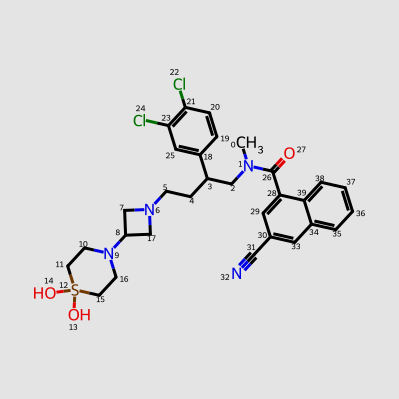 CN(CC(CCN1CC(N2CCS(O)(O)CC2)C1)c1ccc(Cl)c(Cl)c1)C(=O)c1cc(C#N)cc2ccccc12